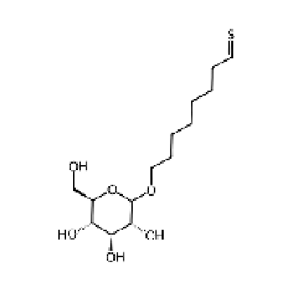 OC[C@H]1OC(OCCCCCCCC=S)[C@H](O)[C@@H](O)[C@@H]1O